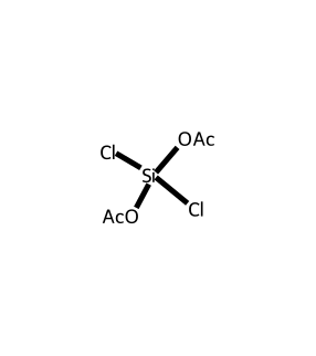 CC(=O)O[Si](Cl)(Cl)OC(C)=O